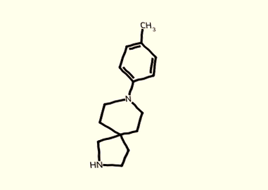 Cc1ccc(N2CCC3(CCNC3)CC2)cc1